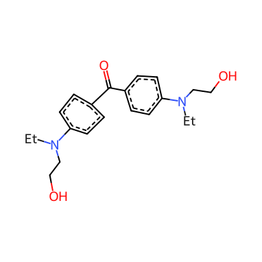 CCN(CCO)c1ccc(C(=O)c2ccc(N(CC)CCO)cc2)cc1